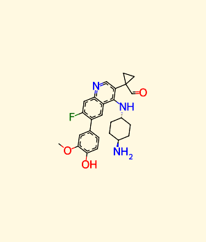 COc1cc(-c2cc3c(N[C@H]4CC[C@H](N)CC4)c(C4(C=O)CC4)cnc3cc2F)ccc1O